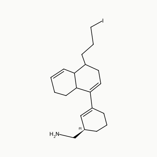 NC[C@H]1C=C(C2=CCC(CCCI)C3C=CCCC23)CCC1